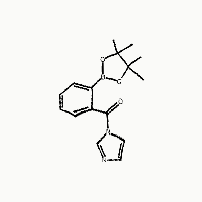 CC1(C)OB(c2ccccc2C(=O)n2ccnc2)OC1(C)C